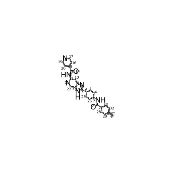 O=C(Nc1ccc(-c2nc3cc(NC(=O)c4ccncc4)ncc3[nH]2)cc1)c1ccc(F)cc1